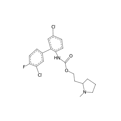 CN1CCCC1CCOC(=O)Nc1ccc(Cl)cc1-c1ccc(F)c(Cl)c1